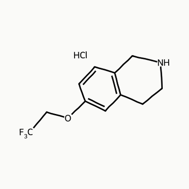 Cl.FC(F)(F)COc1ccc2c(c1)CCNC2